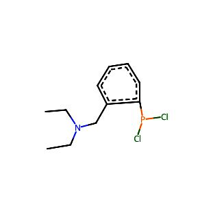 CCN(CC)Cc1ccccc1P(Cl)Cl